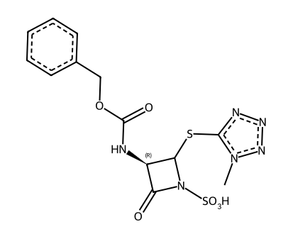 Cn1nnnc1SC1[C@H](NC(=O)OCc2ccccc2)C(=O)N1S(=O)(=O)O